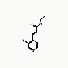 CCOC(=O)C=Cc1ccncc1F